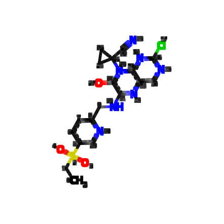 CCS(=O)(=O)c1ccc(CNc2nc3cnc(Cl)nc3n(C3(C#N)CC3)c2=O)nc1